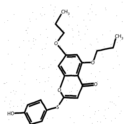 CCCOc1cc(OCCC)c2c(=O)cc(Sc3ccc(O)cc3)oc2c1